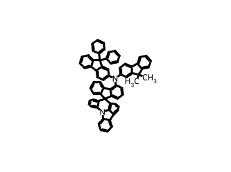 CC1(C)c2ccccc2-c2ccc(N(c3ccc4c(c3)C(c3ccccc3)(c3ccccc3)c3ccccc3-4)c3cccc4c3-c3ccccc3C43c4ccccc4-n4c5ccccc5c5cccc3c54)cc21